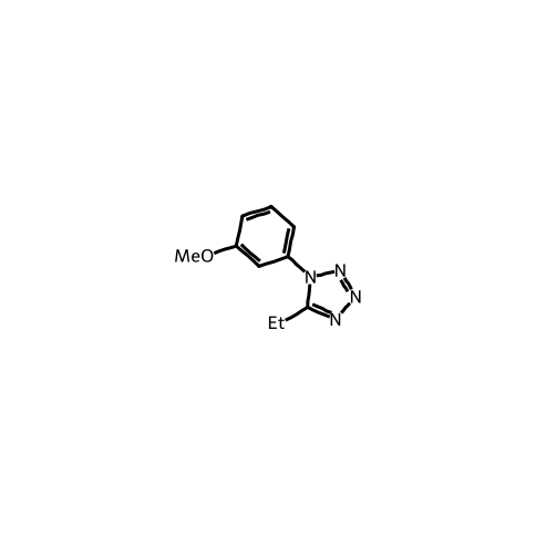 CCc1nnnn1-c1cccc(OC)c1